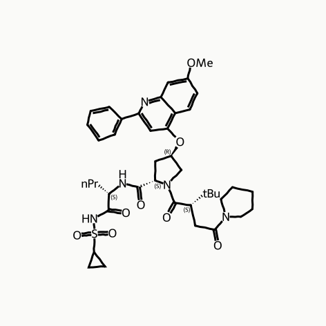 CCC[C@H](NC(=O)[C@@H]1C[C@@H](Oc2cc(-c3ccccc3)nc3cc(OC)ccc23)CN1C(=O)[C@@H](CC(=O)N1CCCCC1)C(C)(C)C)C(=O)NS(=O)(=O)C1CC1